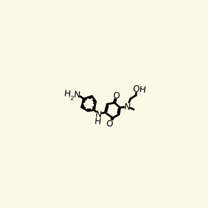 CN(CCO)C1=CC(=O)C(Nc2ccc(N)cc2)=CC1=O